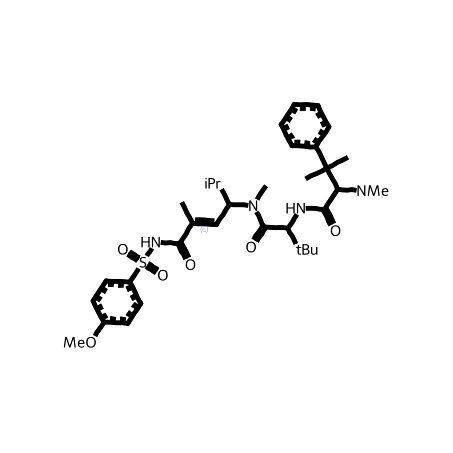 CNC(C(=O)NC(C(=O)N(C)C(/C=C(\C)C(=O)NS(=O)(=O)c1ccc(OC)cc1)C(C)C)C(C)(C)C)C(C)(C)c1ccccc1